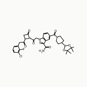 CC1(C)OB(C2CCN(C(=O)c3ccc4c(c3)c(C(N)=O)nn4CC(=O)N3C(=O)CC3C(=O)Cc3cccc(Cl)c3F)CC2)OC1(C)C